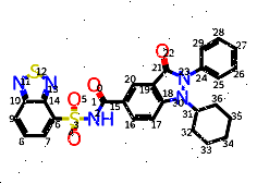 O=C(NS(=O)(=O)c1cccc2nsnc12)c1ccc2c(c1)c(=O)n(-c1ccccc1)n2C1CCCCC1